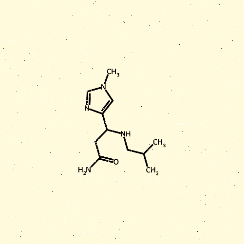 CC(C)CNC(CC(N)=O)c1cn(C)cn1